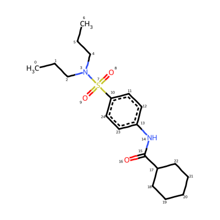 CCCN(CCC)S(=O)(=O)c1ccc(NC(=O)C2CCCCC2)cc1